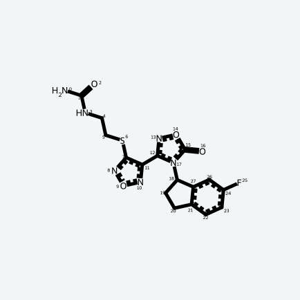 NC(=O)NCCSc1nonc1-c1noc(=O)n1C1CCc2ccc(F)cc21